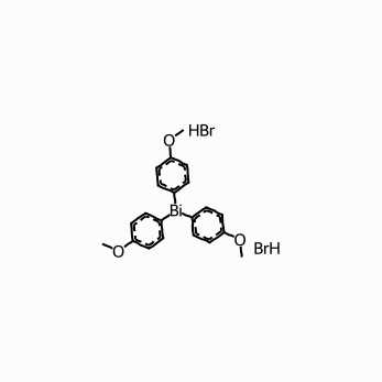 Br.Br.COc1cc[c]([Bi]([c]2ccc(OC)cc2)[c]2ccc(OC)cc2)cc1